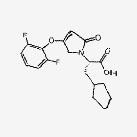 O=C(O)[C@H](CC1CCCC1)N1CC(Oc2c(F)cccc2F)=CC1=O